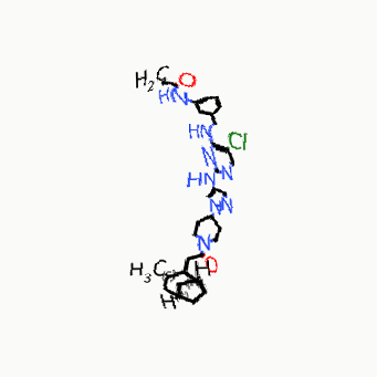 C=CC(=O)Nc1cccc(CNc2nc(Nc3cnn(C4CCN(C(=O)CC5[C@@H]6CC[C@@H](C6)C[C@@H]5C)CC4)c3)ncc2Cl)c1